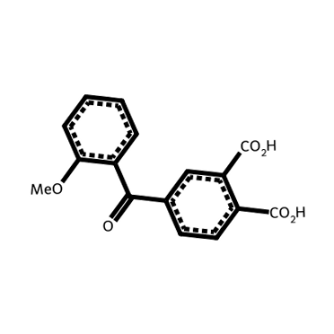 COc1ccccc1C(=O)c1ccc(C(=O)O)c(C(=O)O)c1